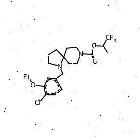 CCOc1cc(CN2CCCC23CCN(C(=O)OC(C)C(F)(F)F)CC3)ccc1Cl